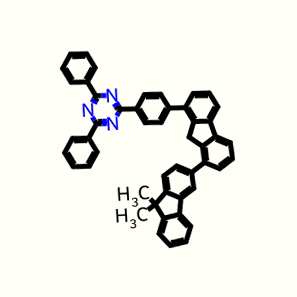 CC1(C)c2ccccc2-c2cc(-c3cccc4c3Cc3c(-c5ccc(-c6nc(-c7ccccc7)nc(-c7ccccc7)n6)cc5)cccc3-4)ccc21